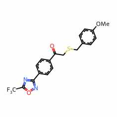 COc1ccc(CSCC(=O)c2ccc(-c3noc(C(F)(F)F)n3)cc2)cc1